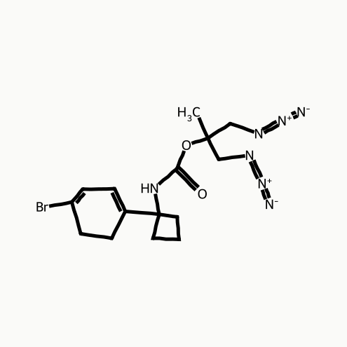 CC(CN=[N+]=[N-])(CN=[N+]=[N-])OC(=O)NC1(C2=CC=C(Br)CC2)CCC1